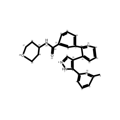 Cc1cccc(-c2[nH]ncc2-c2cccnc2-c2cccc(C(=O)NC3CCOCC3)c2)n1